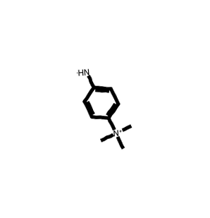 C[N+](C)(C)c1ccc([NH])cc1